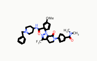 COc1ccc(-n2nc(C(F)(F)F)c3c2C(=O)N(c2ccc(C(=O)N(C)C)cc2)CC3)c(C(=O)NC2CCN(Cc3ccccc3)CC2)c1